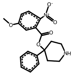 COc1ccc([N+](=O)[O-])c(C(=O)OC2(c3ccccc3)CCNCC2)c1